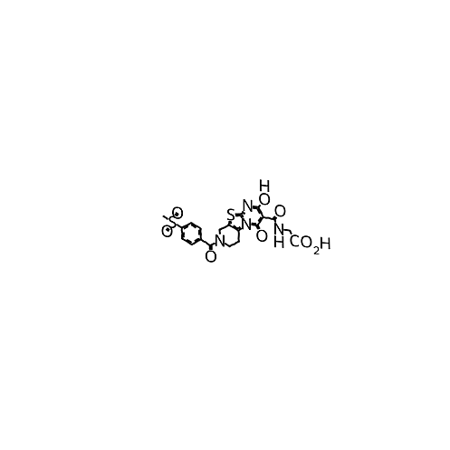 CS(=O)(=O)c1ccc(C(=O)N2CCc3c(sc4nc(O)c(C(=O)NCC(=O)O)c(=O)n34)C2)cc1